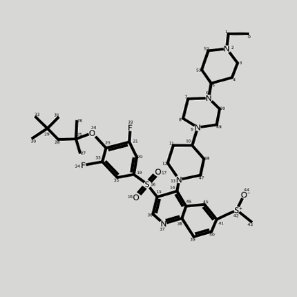 CCN1CCC(N2CCN(C3CCN(c4c(S(=O)(=O)c5cc(F)c(OC(C)(C)CC(C)(C)C)c(F)c5)cnc5ccc([S+](C)[O-])cc45)CC3)CC2)CC1